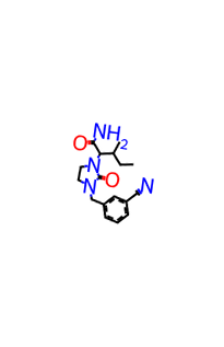 CCC(C)C(C(N)=O)N1CCN(Cc2cccc(C#N)c2)C1=O